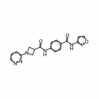 O=C(Nc1ccoc1)c1ccc(NC(=O)C2CN(c3cccnn3)C2)cc1